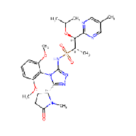 COc1cccc(OC)c1-n1c(NS(=O)(=O)[C@@H](C)[C@@H](OC(C)C)c2ncc(C)cn2)nnc1[C@H]1CCC(=O)N1C